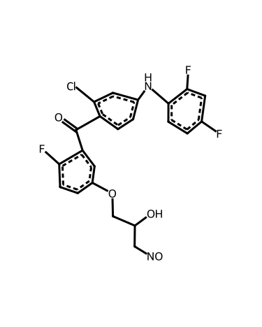 O=NCC(O)COc1ccc(F)c(C(=O)c2ccc(Nc3ccc(F)cc3F)cc2Cl)c1